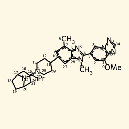 COc1cc(-c2nc3c(C)cc(C4CCN(C5CC6CCC(C5)N6CC(C)C)CC4)cc3n2C)cn2ncnc12